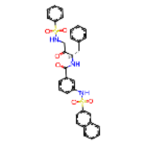 O=C(N[C@@H](Cc1ccccc1)C(=O)CNS(=O)(=O)c1ccccc1)c1cccc(NS(=O)(=O)c2ccc3ccccc3c2)c1